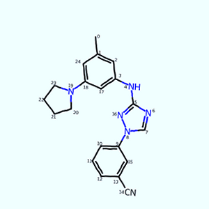 Cc1cc(Nc2ncn(-c3cccc(C#N)c3)n2)cc(N2CCCC2)c1